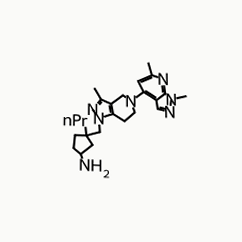 CCCC1(Cn2nc(C)c3c2CCN(c2cc(C)nc4c2cnn4C)C3)CCC(N)C1